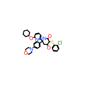 O=C1CC(c2ccc(N3CCOCC3)cc2)(c2cccc(OC3CCCCC3)n2)NC(=O)C1Sc1ccccc1Cl